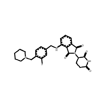 O=C1CCC(N2C(=O)c3cccc(NCc4ccc(CN5CCCCC5)c(F)c4)c3C2=O)C(=O)N1